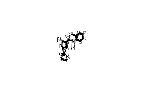 CCc1nn(-c2nccs2)cc1C(=O)Nc1ccccc1C